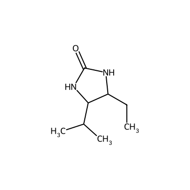 CCC1NC(=O)NC1C(C)C